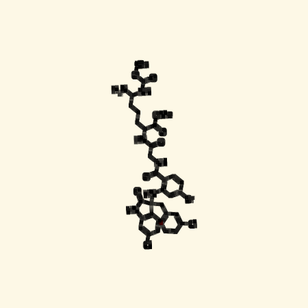 COC(=O)C(CCCC(N)NC(=O)OC(C)(C)C)NC(=O)CNC(=O)c1ccc(Br)cc1NC1(Cc2cccc(Cl)c2)C(=O)Nc2cc(Cl)ccc21